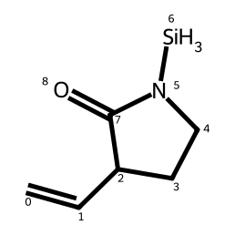 C=CC1CCN([SiH3])C1=O